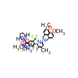 COc1ccc(CN(Cc2ccc(OC)cc2)c2cc(C)c(I)c(-c3c(C(F)(F)F)cc4c(N5C[C@H]6CC[C@@H](C5)N6C(=O)OC(C)(C)C)nc(F)nc4c3F)n2)cc1